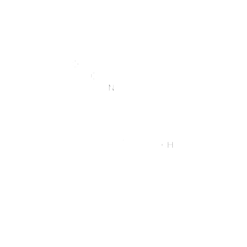 Cc1ccccc1/C=C/N=C=O